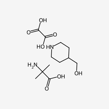 CC(C)(N)C(=O)O.O=C(O)C(=O)O.OCC1CCNCC1